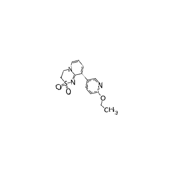 CCOc1ccc(C2=CC=CN3CCS(=O)(=O)N=C23)cn1